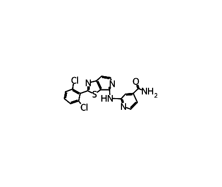 NC(=O)c1ccnc(Nc2nccc3nc(-c4c(Cl)cccc4Cl)sc23)c1